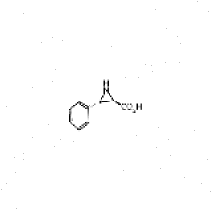 O=C(O)[C@@H]1N[C@H]1c1ccccc1